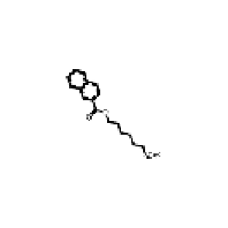 CCCCCCCCCCCCCCCCOC(=O)c1ccc2ccccc2c1